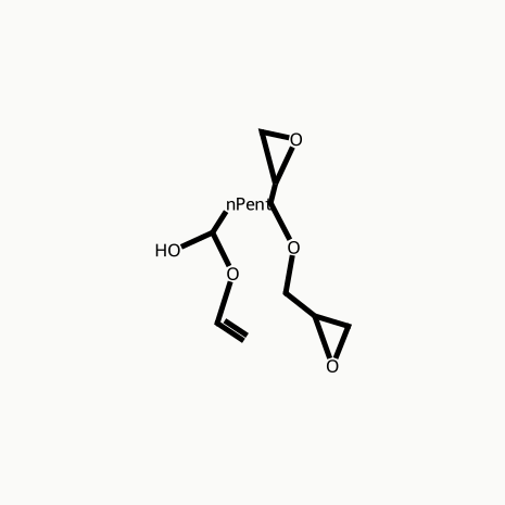 C(OCC1CO1)C1CO1.C=COC(O)CCCCC